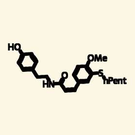 CCCCCSc1cc(/C=C\C(=O)NCCc2ccc(O)cc2)ccc1OC